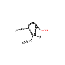 CCCCCCCCCc1ccc(O)c(CC)c1CCCCCCCCC